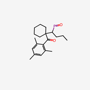 CCCC(P=O)C1(C(=O)c2c(C)cc(C)cc2C)CCCCC1